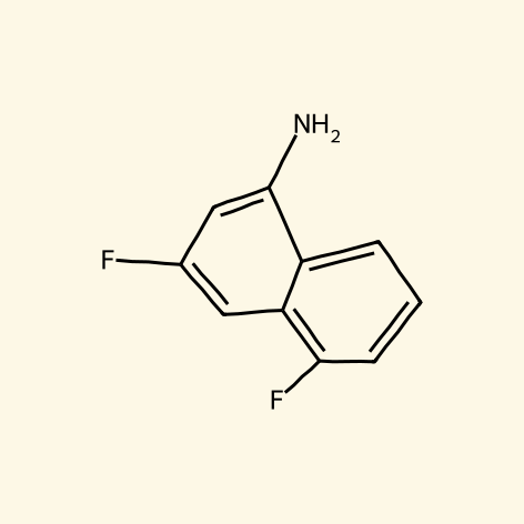 Nc1cc(F)cc2c(F)cccc12